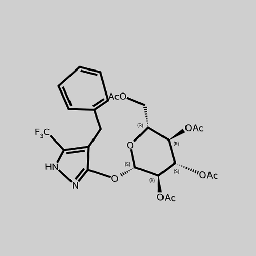 CC(=O)OC[C@H]1O[C@@H](Oc2n[nH]c(C(F)(F)F)c2Cc2ccccc2)[C@H](OC(C)=O)[C@@H](OC(C)=O)[C@@H]1OC(C)=O